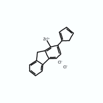 [Cl-].[Cl-].[Zr+2][c]1c(C2=CC=CC2)ccc2c1Cc1ccccc1-2